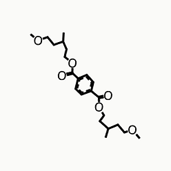 COCCC(C)CCOC(=O)c1ccc(C(=O)OCCC(C)CCOC)cc1